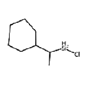 CC([SiH2]Cl)C1CCCCC1